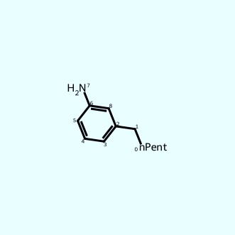 [CH2]CCCCCc1cccc(N)c1